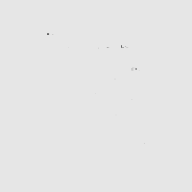 CCCCOC[C@H]1SC(OC(=O)c2ccccc2)[C@@H](OCCCC)[C@H]1OCCCC